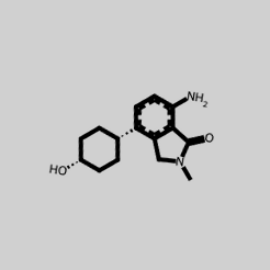 CN1Cc2c(c(N)ccc2[C@H]2CC[C@@H](O)CC2)C1=O